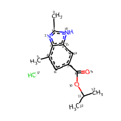 Cc1nc2c(C)cc(C(=O)OC(C)C)cc2[nH]1.Cl